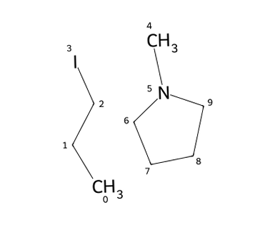 CCCI.CN1CCCC1